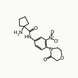 NC1(C(=O)Nc2ccc(N3CCOCC3=O)c([N+](=O)[O-])c2)CCCC1